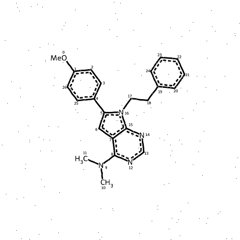 COc1ccc(-c2cc3c(N(C)C)ncnc3n2CCc2ccccc2)cc1